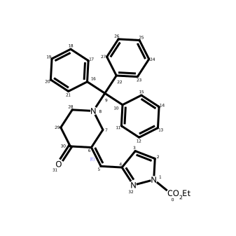 CCOC(=O)n1ccc(/C=C2\CN(C(c3ccccc3)(c3ccccc3)c3ccccc3)CCC2=O)n1